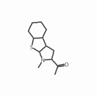 CC(=O)C1CC2C3CCCCC3SC2N1C